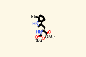 CCc1cccc2c(C[C@H](NC(=O)OC(C)(C)C)C(=O)OC)c[nH]c12